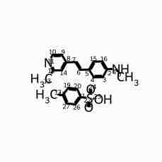 CNc1ccc(C=Cc2ccnc(C)c2)cc1.Cc1ccc(S(=O)(=O)O)cc1